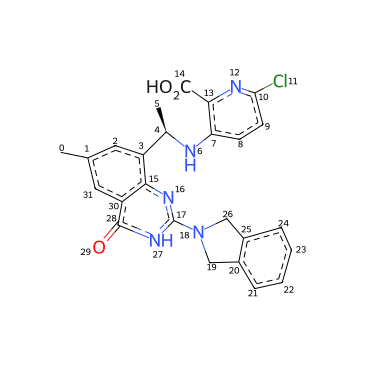 Cc1cc([C@@H](C)Nc2ccc(Cl)nc2C(=O)O)c2nc(N3Cc4ccccc4C3)[nH]c(=O)c2c1